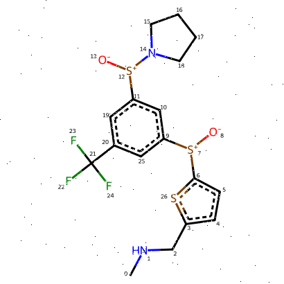 CNCc1ccc([S+]([O-])c2cc([S+]([O-])N3CCCC3)cc(C(F)(F)F)c2)s1